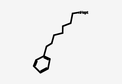 CCCCCCCCCCCCCCc1ccccc1